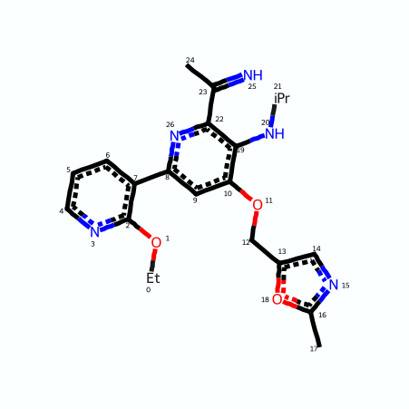 CCOc1ncccc1-c1cc(OCc2cnc(C)o2)c(NC(C)C)c(C(C)=N)n1